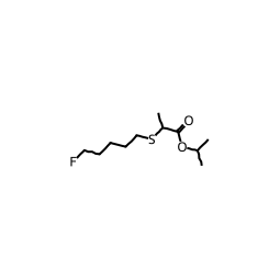 CC(C)OC(=O)C(C)SCCCCCF